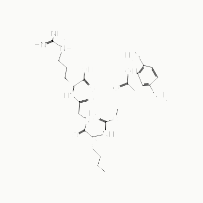 CC(=O)O.CCCC[C@@H](NC(=O)OC)C(=O)NCC(=O)N[C@@H](CCCNC(=N)N)C(=O)O.Nc1ccc(N)cc1